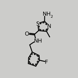 Cc1nc(N)sc1C(=O)NCc1cccc(F)c1